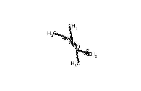 CCCCCCCCCNCCN(CCCCCCCCC)CC(=O)N1CCN(C(=O)CN(CCCCCCCCC)CCCCCOC(=O)OC)CC1